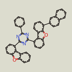 c1ccc(-c2nc(-c3cccc4oc5ccccc5c34)nc(-c3cccc4oc5c(-c6ccc7ccccc7c6)cccc5c34)n2)cc1